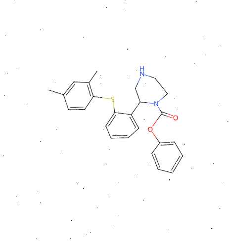 Cc1ccc(Sc2ccccc2C2CNCCN2C(=O)Oc2ccccc2)c(C)c1